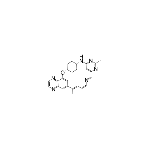 C=N/C=C\C=C(/C)c1cc(O[C@H]2CC[C@@H](Nc3ccnc(C)n3)CC2)c2nccnc2c1